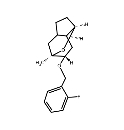 C[C@]12CC3CC[C@@H](O1)[C@H]3C[C@@H]2OCc1ccccc1F